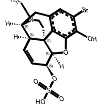 CN1CC[C@]23c4c5cc(Br)c(O)c4O[C@H]2[C@@H](OS(=O)(=O)O)C=C[C@H]3[C@H]1C5